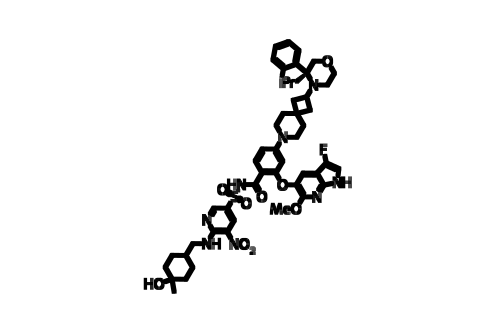 COc1nc2[nH]cc(F)c2cc1Oc1cc(N2CCC3(CC2)CC(N2CCOC[C@@]2(C)c2ccccc2C(C)C)C3)ccc1C(=O)NS(=O)(=O)c1cnc(NCC2CCC(C)(O)CC2)c([N+](=O)[O-])c1